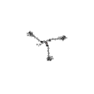 CC(=O)N[C@H]1[C@H]2OC[C@@](COCCOCCOCCOCCn3cc(COCC(COCc4cn(CCOCCOCCOCCOC[C@]56CO[C@@H](O5)[C@H](NC(C)=O)[C@@H](O)[C@H]6O)nn4)(COCc4cn(CCOCCOCCOCCOC[C@]56CO[C@@H](O5)[C@H](NC(C)=O)[C@@H](O)[C@H]6O)nn4)N(CCCCCCN)C(C)=O)nn3)(O2)[C@H](O)[C@@H]1O